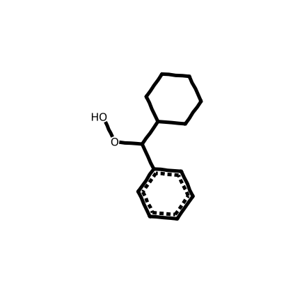 OOC(c1ccccc1)C1CCCCC1